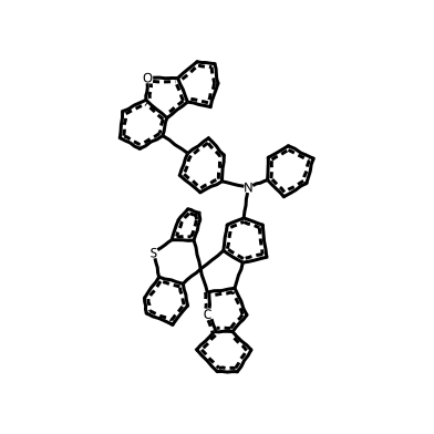 c1ccc(N(c2ccc(-c3cccc4oc5ccccc5c34)cc2)c2ccc3c(c2)C2(c4ccccc4Sc4ccccc42)c2cc4ccccc4cc2-3)cc1